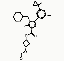 Cc1cc(-c2cc(C(=O)N[C@H]3C[C@H](OC=O)C3)c(C)n2CC2CCCCC2)cc(C2(C)CC2)c1